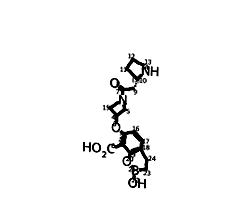 O=C(O)c1c(OC2CN(C(=O)C[C@@H]3CCCN3)C2)ccc2c1OB(O)CC2